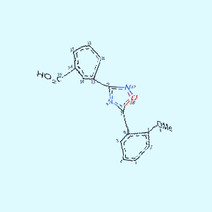 COc1ccccc1-c1nc(-c2cccc(C(=O)O)c2)no1